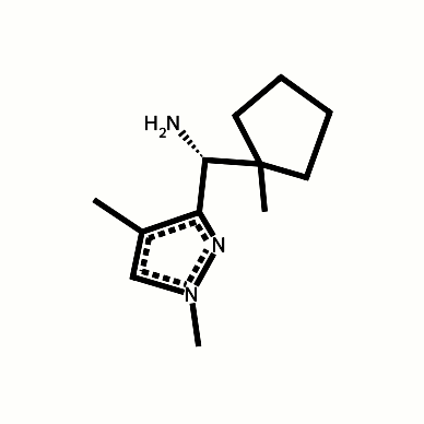 Cc1cn(C)nc1[C@H](N)C1(C)CCCC1